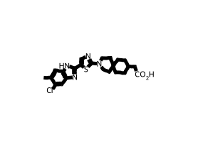 Cc1cc2[nH]c(-c3cnc(N4CCC5(CCC(CC(=O)O)CC5)CC4)s3)nc2cc1Cl